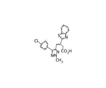 Cn1nc(/C=C(\CC(=O)O)c2nc3ccccc3s2)c(-c2ccc(Cl)cc2)n1